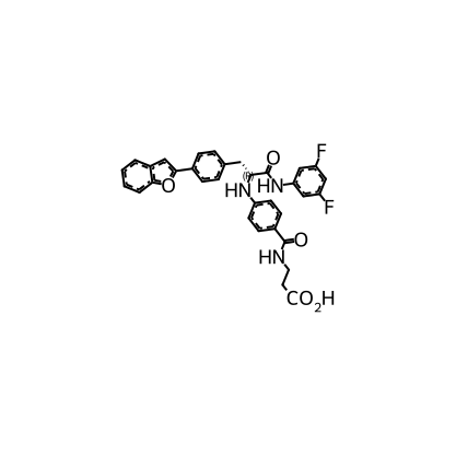 O=C(O)CCNC(=O)c1ccc(N[C@H](Cc2ccc(-c3cc4ccccc4o3)cc2)C(=O)Nc2cc(F)cc(F)c2)cc1